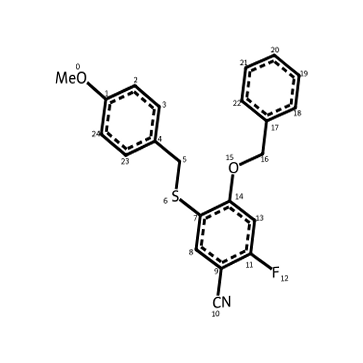 COc1ccc(CSc2cc(C#N)c(F)cc2OCc2ccccc2)cc1